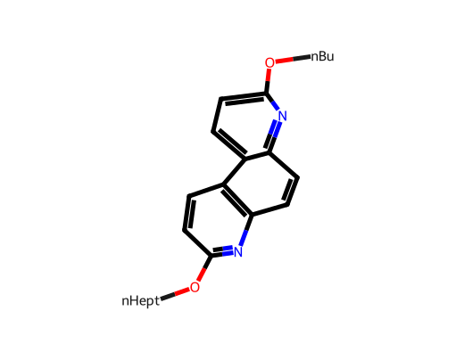 CCCCCCCOc1ccc2c(ccc3nc(OCCCC)ccc32)n1